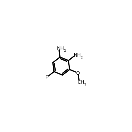 COc1cc(F)cc(N)c1N